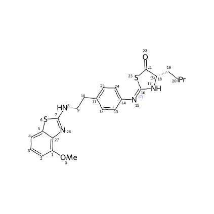 COc1cccc2sc(NCCc3ccc(/N=C4/N[C@@H](CC(C)C)C(=O)S4)cc3)nc12